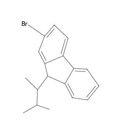 CC(C)C(C)C1c2ccccc2-c2ccc(Br)cc21